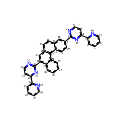 c1ccc(-c2ccnc(-c3ccc4c(ccc5cc(-c6nccc(-c7ccccn7)n6)c6ccccc6c54)c3)n2)nc1